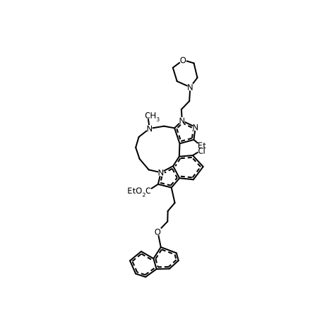 CCOC(=O)c1c(CCCOc2cccc3ccccc23)c2ccc(Cl)c3c2n1CCCCN(C)Cc1c-3c(CC)nn1CCN1CCOCC1